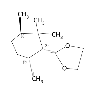 C[C@@H]1CC[C@@H](C)C(C)(C)[C@@H]1C1OCCO1